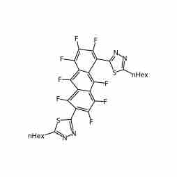 CCCCCCc1nnc(-c2c(F)c(F)c3c(F)c4c(-c5nnc(CCCCCC)s5)c(F)c(F)c(F)c4c(F)c3c2F)s1